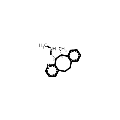 CNC[C@H]1c2ncccc2CCc2ccccc2[C@H]1C